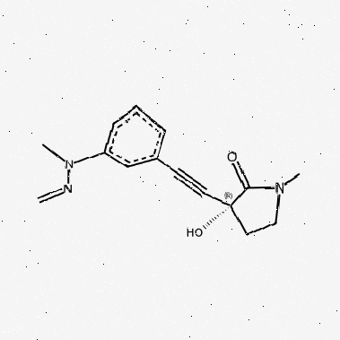 C=NN(C)c1cccc(C#C[C@]2(O)CCN(C)C2=O)c1